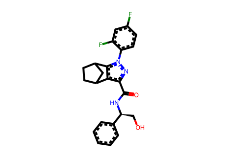 O=C(N[C@@H](CO)c1ccccc1)c1nn(-c2ccc(F)cc2F)c2c1C1CCC2C1